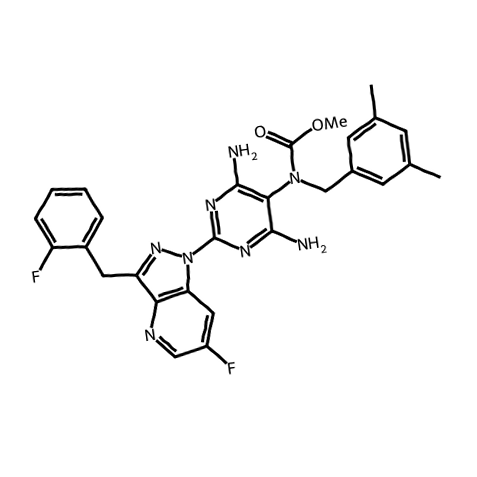 COC(=O)N(Cc1cc(C)cc(C)c1)c1c(N)nc(-n2nc(Cc3ccccc3F)c3ncc(F)cc32)nc1N